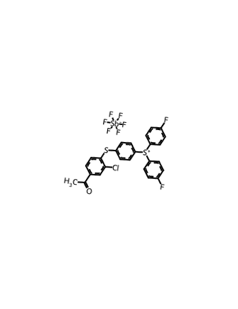 CC(=O)c1ccc(Sc2ccc([S+](c3ccc(F)cc3)c3ccc(F)cc3)cc2)c(Cl)c1.[F][Sb-]([F])([F])([F])([F])[F]